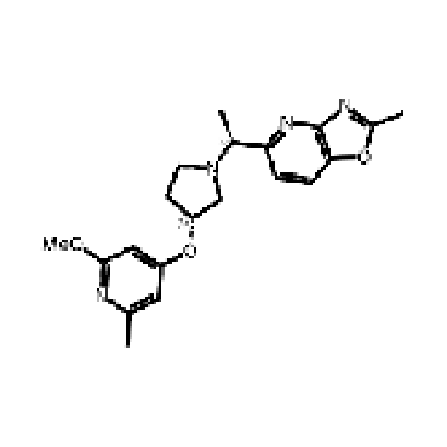 COc1cc(O[C@@H]2CCN([C@@H](C)c3ccc4oc(C)nc4n3)C2)cc(C)n1